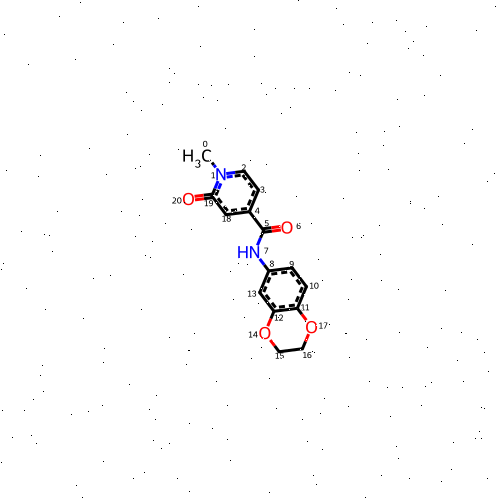 Cn1ccc(C(=O)Nc2ccc3c(c2)OCCO3)cc1=O